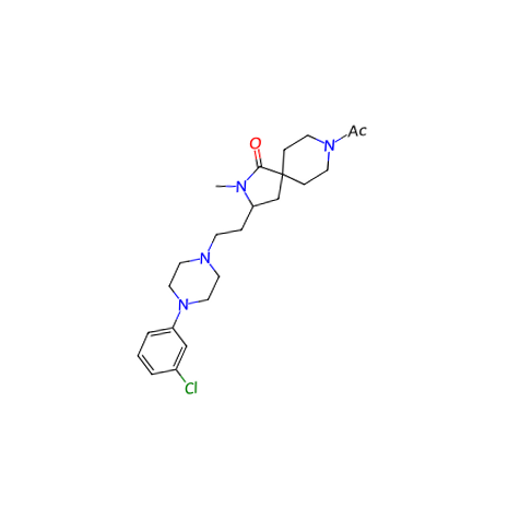 CC(=O)N1CCC2(CC1)CC(CCN1CCN(c3cccc(Cl)c3)CC1)N(C)C2=O